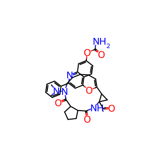 CN(C)N1CCCC/C=C(\Oc2cc(-c3ccccc3)nc3cc(OC(N)=O)ccc23)C2CC2([C]=O)NC(=O)C2CCCC2C1=O